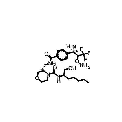 CCCCCC(CO)NC(=O)N1CCOC[C@@H]1CNC(=O)c1ccc([C@H](N)C(ON)C(F)(F)F)cc1